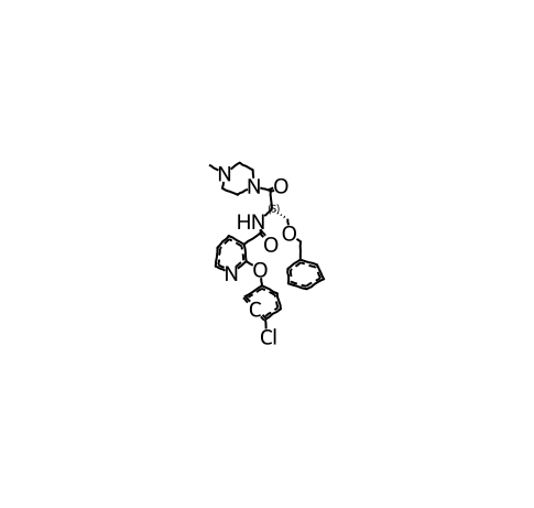 CN1CCN(C(=O)[C@H](COCc2ccccc2)NC(=O)c2cccnc2Oc2ccc(Cl)cc2)CC1